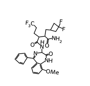 COc1cccc2c1NC(=O)C(NC(=O)C(CCC(F)(F)F)C(CC1CC(F)(F)C1)C(N)=O)N=C2c1ccccc1